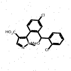 COC(c1ccccc1Cl)c1cc(Cl)ccc1-c1c(C(=O)O)cnn1C